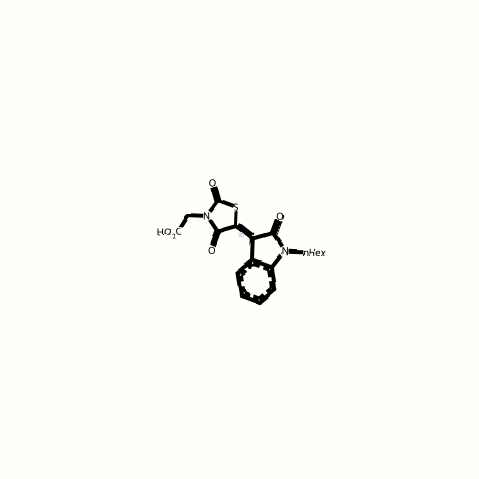 CCCCCCN1C(=O)/C(=C2\SC(=O)N(CC(=O)O)C2=O)c2ccccc21